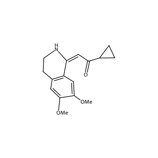 COc1cc2c(cc1OC)/C(=C\C(=O)C1CC1)NCC2